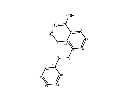 O=C(O)c1cccc(CCc2ccccc2)c1CO